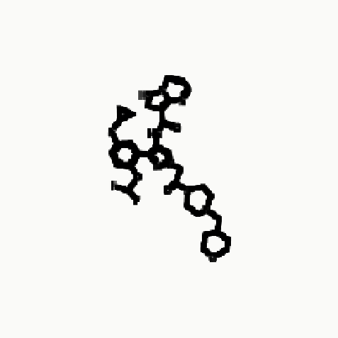 O=C(Nc1cn(CC(=O)N2CCN(CC3CCOCC3)CC2)nc1-c1cc(SC2CC2)ccc1OC(F)F)C1=C2N=CC=CN2NC1